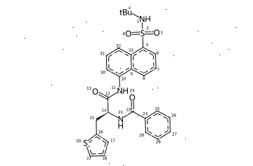 CC(C)(C)NS(=O)(=O)c1cccc2c(NC(=O)[C@H](Cc3cccs3)NC(=O)c3ccccc3)cccc12